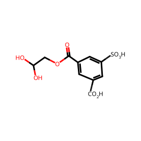 O=C(O)c1cc(C(=O)OCC(O)O)cc(S(=O)(=O)O)c1